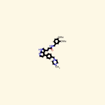 COC1=CC(CNC(=O)/C=C/c2c[nH]c3nccc(-c4ccc(CN5CCN(C)CC5)cc4)c23)=CCC1OC